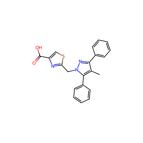 Cc1c(-c2ccccc2)nn(Cc2nc(C(=O)O)cs2)c1-c1ccccc1